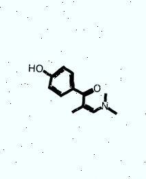 C/C(=C/N(C)C)C(=O)c1ccc(O)cc1